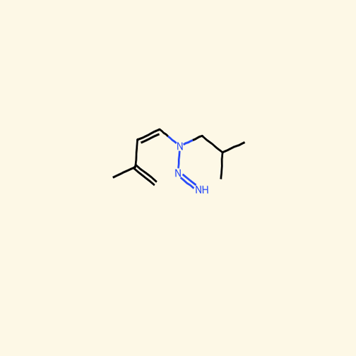 C=C(C)/C=C\N(CC(C)C)N=N